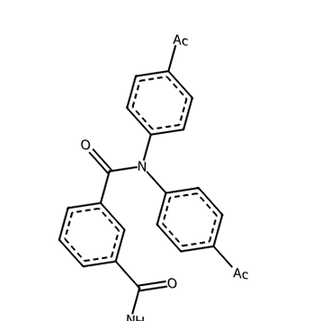 CC(=O)c1ccc(N(C(=O)c2cccc(C(N)=O)c2)c2ccc(C(C)=O)cc2)cc1